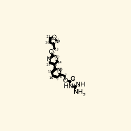 N=C(N)NC(=O)OCc1cccc(-c2cnc(OCc3ccon3)nc2)n1